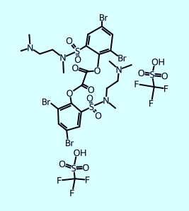 CN(C)CCN(C)S(=O)(=O)c1cc(Br)cc(Br)c1OC(=O)C(=O)Oc1c(Br)cc(Br)cc1S(=O)(=O)N(C)CCN(C)C.O=S(=O)(O)C(F)(F)F.O=S(=O)(O)C(F)(F)F